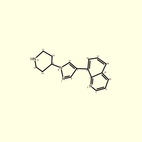 c1cnc2c(-c3cnn(C4CCNCC4)c3)cccc2c1